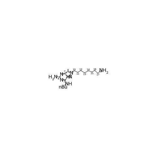 CCCCNc1nc(N)nc2cn(CCCCCCCCN)nc12